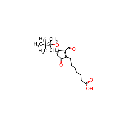 CC(C)(C)[Si](C)(C)O[C@H]1CC(=O)C(CCCCCCC(=O)O)=C1C=O